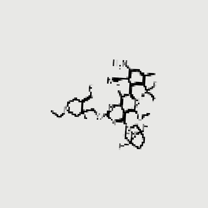 CCN1CC/C(=C\F)[C@](C)(COc2nc(N3C[C@H]4CC[C@@H](C3)N4)c3c(OC)nc(-c4c(C#N)c(N)cc(C)c4C(F)(F)F)c(F)c3n2)C1